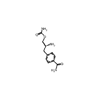 NC(=O)OC[C@@H](N)Cc1ccc(C(N)=O)cc1